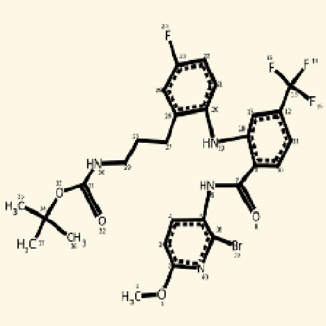 COc1ccc(NC(=O)c2ccc(C(F)(F)F)cc2Nc2ccc(F)cc2CCCNC(=O)OC(C)(C)C)c(Br)n1